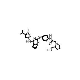 CC(C)c1cc(Nc2nc(Sc3ccc(NC(=O)CN4CCCC4CO)cc3)nn3cccc23)n[nH]1